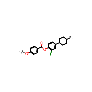 CCC1CCC(c2ccc(OC(=O)c3ccc(OC(F)(F)F)cc3)c(F)c2)CC1